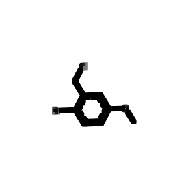 COc1ccc(Br)c(CCl)c1